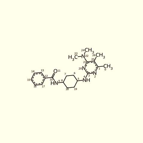 Cc1nc(NC2CCC(NC(=O)c3ccccc3)CC2)nc(N(C)C)c1C